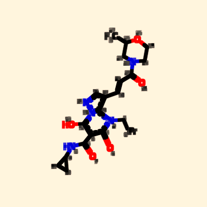 CC(C)Cn1c(=O)c(C(=O)NC2CC2)c(O)n2ncc(C=CC(=O)N3CCOC(C(F)(F)F)C3)c12